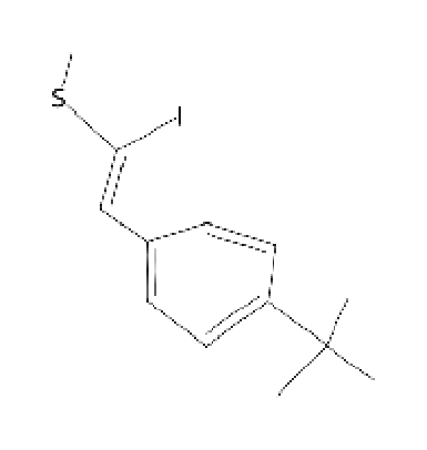 CSC(I)=Cc1ccc(C(C)(C)C)cc1